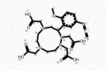 COc1ccc(N=C=S)cc1C1CN(CC(=O)O)CCN(CC(=O)O)CCN(CC(=O)O)N1CC(=O)O